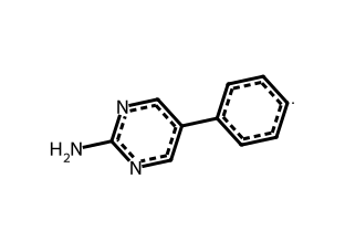 Nc1ncc(-c2cc[c]cc2)cn1